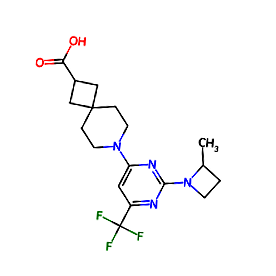 CC1CCN1c1nc(N2CCC3(CC2)CC(C(=O)O)C3)cc(C(F)(F)F)n1